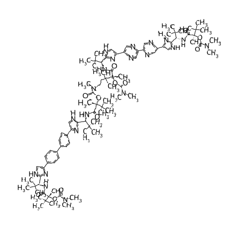 CN(C)C(=O)O[C@@](C)(C(=O)N[C@H](c1nc(-c2ccc(-c3ccc(-c4c[nH]c([C@@H](NC(=O)[C@](C)(OC(=O)N(C)CCC(C)(C)[C@@](C)(OC(=O)N(C)C)C(=O)N[C@H](c5nc(-c6cnc(-c7cnc(-c8c[nH]c([C@@H](NC(=O)[C@](C)(OC(=O)N(C)C)C(C)(C)C)C(C)(C)C)n8)cn7)cn6)c[nH]5)C(C)(C)C)C(C)(C)C)C(C)(C)C)n4)cc3)cc2)c[nH]1)C(C)(C)C)C(C)(C)C